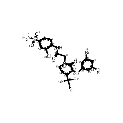 NS(=O)(=O)c1ccc(NC(=O)Cn2ccc(C(F)(F)F)c(Oc3cc(Cl)cc(Br)c3)c2=O)c(Cl)c1